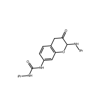 CC(C)NC(=O)Nc1ccc2c(c1)OC(NC(C)C)C(=O)C2